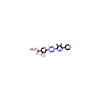 CCCCOC(=O)c1cnc(N2CCN(c3nnc(-c4ccncc4)c(C)c3C)C[C@H]2C)cc1C(F)(F)F